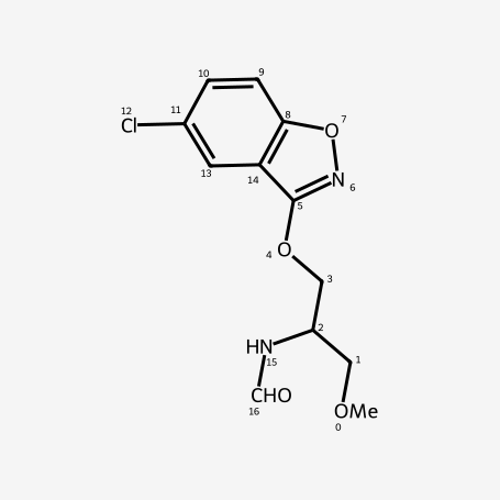 COCC(COc1noc2ccc(Cl)cc12)NC=O